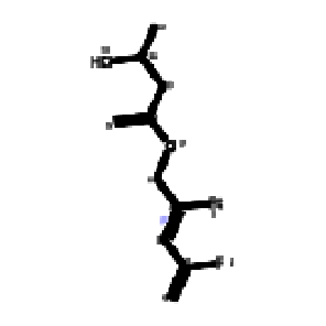 C=C(F)/C=C(\CC)COC(=C)CC(C)O